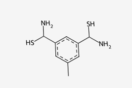 Cc1cc(C(N)S)cc(C(N)S)c1